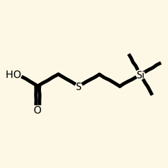 C[Si](C)(C)CCSCC(=O)O